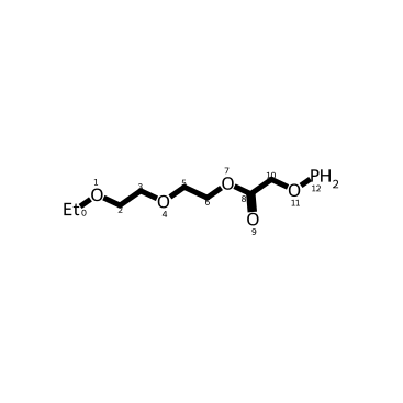 CCOCCOCCOC(=O)COP